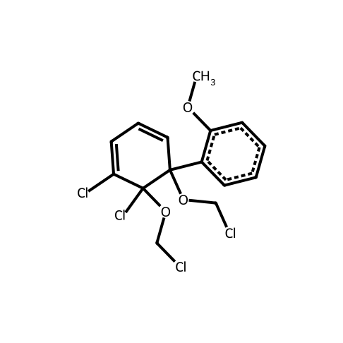 COc1ccccc1C1(OCCl)C=CC=C(Cl)C1(Cl)OCCl